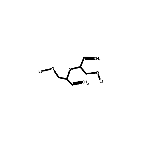 C=CC(COCC)SC(C=C)COCC